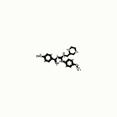 N=C(/N=C(/NCC1COCCO1)Nc1ccc(OC(F)(F)F)cc1)c1ccc(C=O)cc1